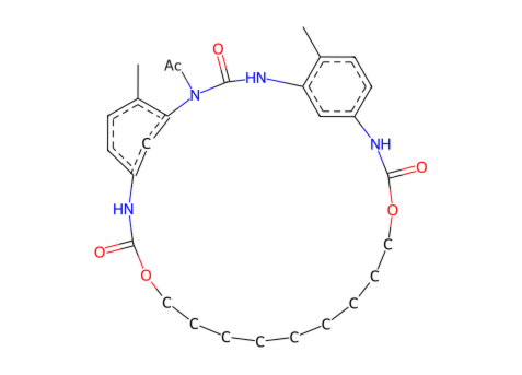 CC(=O)N1C(=O)Nc2cc(ccc2C)NC(=O)OCCCCCCCCCOC(=O)Nc2ccc(C)c1c2